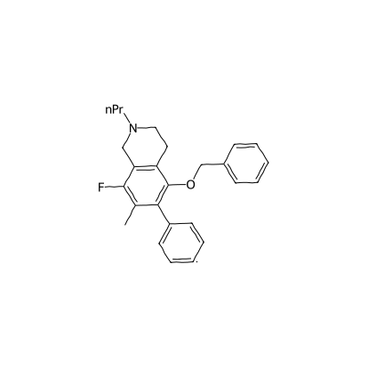 CCCN1CCc2c(c(F)c(C)c(-c3cc[c]cc3)c2OCc2ccccc2)C1